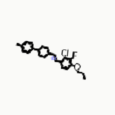 CCCOc1ccc(/C=C/c2ccc(-c3ccc(C)cc3)cc2)c(Cl)c1F